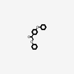 O=C(COc1ccccc1)c1ccc(Oc2ccccc2)cc1